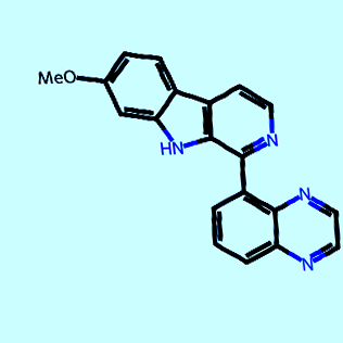 COc1ccc2c(c1)[nH]c1c(-c3cccc4nccnc34)nccc12